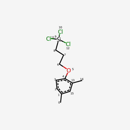 Cc1ccc(OCCC[Si](Cl)(Cl)Cl)c(C)c1